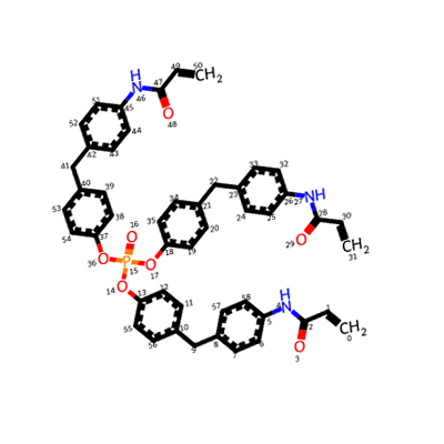 C=CC(=O)Nc1ccc(Cc2ccc(OP(=O)(Oc3ccc(Cc4ccc(NC(=O)C=C)cc4)cc3)Oc3ccc(Cc4ccc(NC(=O)C=C)cc4)cc3)cc2)cc1